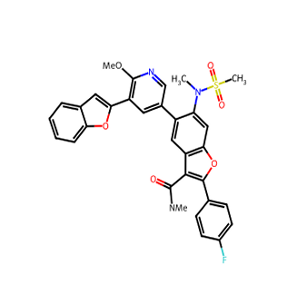 CNC(=O)c1c(-c2ccc(F)cc2)oc2cc(N(C)S(C)(=O)=O)c(-c3cnc(OC)c(-c4cc5ccccc5o4)c3)cc12